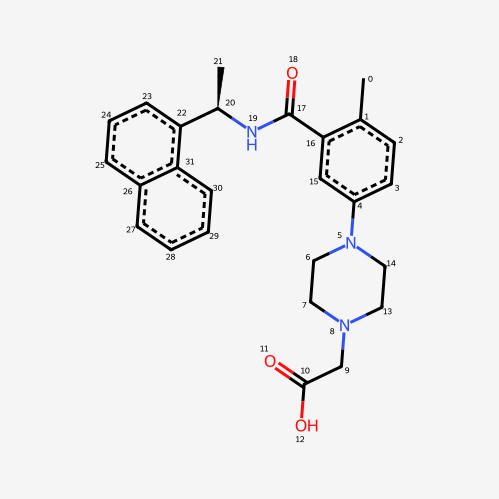 Cc1ccc(N2CCN(CC(=O)O)CC2)cc1C(=O)N[C@H](C)c1cccc2ccccc12